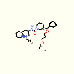 CCOCCCO[C@@H](c1ccccc1)[C@@H]1CCCN(C(=O)NC(CNC)CC2CCCCC2)C1